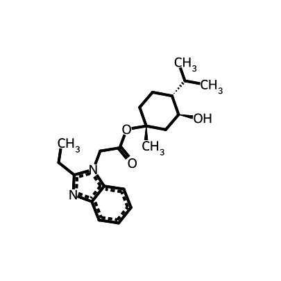 CCc1nc2ccccc2n1CC(=O)O[C@]1(C)CC[C@H](C(C)C)[C@@H](O)C1